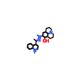 C/C(=N\N(C)c1cc2c3c(c1O)CCCN3CCC2)c1cc[n+](C)c2ccccc12